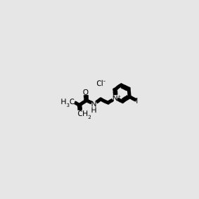 C=C(C)C(=O)NCC[n+]1cccc(I)c1.[Cl-]